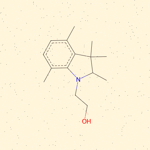 Cc1ccc(C)c2c1N(CCO)C(C)C2(C)C